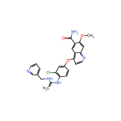 C=C(NCc1cccnc1)Nc1ccc(Oc2ccnc3cc(OC)c(C(N)=O)cc23)cc1Cl